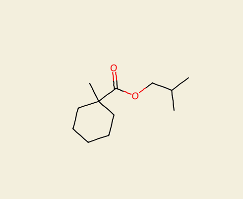 CC(C)COC(=O)C1(C)CCCCC1